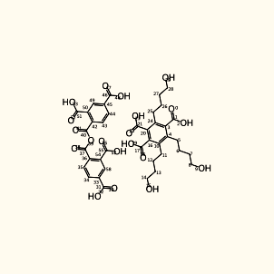 O=C(O)c1c(CCCCO)c(CCCCO)c(C(=O)O)c(C(=O)O)c1CCCCO.O=C(O)c1ccc(C(=O)OC(=O)c2ccc(C(=O)O)cc2C(=O)O)c(C(=O)O)c1